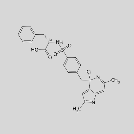 CC1=NC2=CC(C)=NC(Cl)(Cc3ccc(S(=O)(=O)N[C@@H](Cc4ccccc4)C(=O)O)cc3)C2=C1